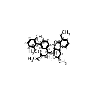 CCc1cccn(C(CC(C)C)C(=O)N[C@@H](CC(=O)OC)c2cccc(-c3c(C)cccc3C)c2)c1=O